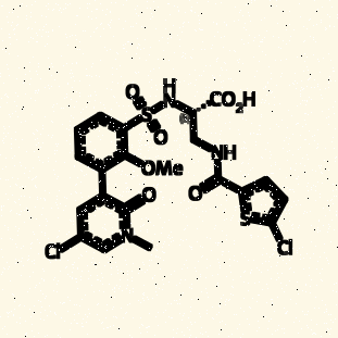 COc1c(-c2cc(Cl)cn(C)c2=O)cccc1S(=O)(=O)N[C@@H](CNC(=O)c1ccc(Cl)s1)C(=O)O